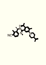 C=C(C)c1cc(C)c(N2CCC(C(=C)C)CC2)cc1/C(=N\C)N[C@H](C)c1cccc(C#N)c1C